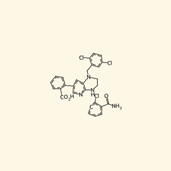 NC(=O)c1ccccc1Cl.O=C(O)c1ccccc1-c1cnc2c(c1)N(Cc1cc(Cl)ccc1Cl)CCN2